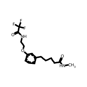 CNC(=O)CCCCc1cccc(OCCNC(=O)C(F)(F)F)c1